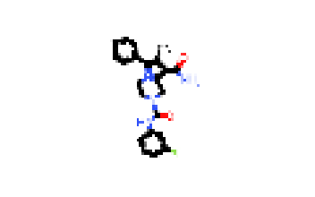 N#Cc1c(C(N)=O)c2n(c1-c1ccccc1)CCN(C(=O)Nc1cccc(F)c1)C2